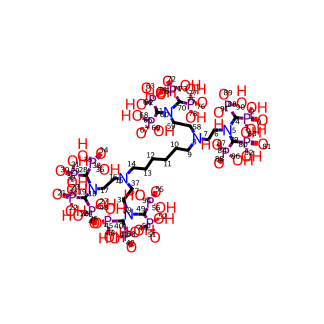 O=P(O)(O)C(N(CCN(CCCCCCN(CCN(C(P(=O)(O)O)P(=O)(O)O)C(P(=O)(O)O)P(=O)(O)O)CCN(C(P(=O)(O)O)P(=O)(O)O)C(P(=O)(O)O)P(=O)(O)O)CCN(C(P(=O)(O)O)P(=O)(O)O)C(P(=O)(O)O)P(=O)(O)O)C(P(=O)(O)O)P(=O)(O)O)P(=O)(O)O